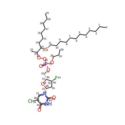 CCCCCCCCCCCCSC(CCCCCCC)C(C)OOP(=O)(OCCC)OC[C@H]1O[C@@H](n2cc(Cl)c(=O)[nH]c2=O)C[C@@H]1F